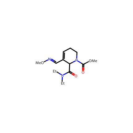 CCN(CC)C(=O)C1C(C=NOC)=CCCN1C(=O)OC